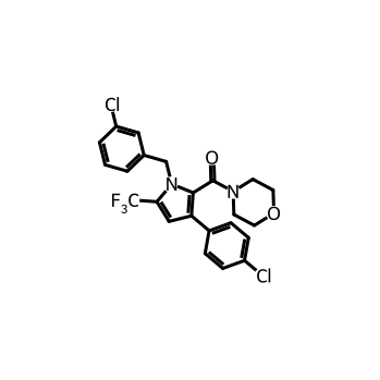 O=C(c1c(-c2ccc(Cl)cc2)cc(C(F)(F)F)n1Cc1cccc(Cl)c1)N1CCOCC1